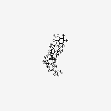 [2H]c1c([2H])c(C)c(Cl)c(N2C([2H])([2H])C([2H])([2H])N(C([2H])([2H])C([2H])([2H])[C@]3([2H])C([2H])([2H])C([2H])([2H])[C@@]([2H])(NC(=O)N(C)C)C([2H])([2H])C3([2H])[2H])C([2H])([2H])C2([2H])[2H])c1[2H]